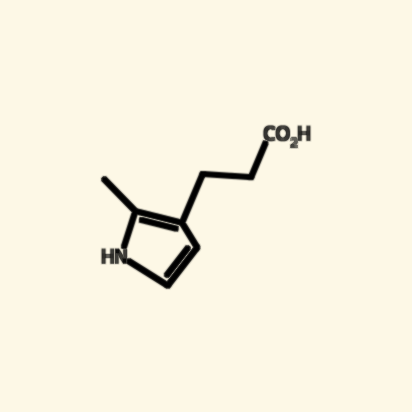 Cc1[nH]ccc1CCC(=O)O